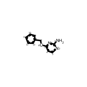 Nc1nccc(OCc2ccccc2)n1